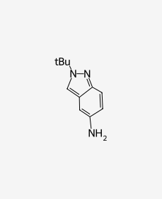 CC(C)(C)n1cc2cc(N)ccc2n1